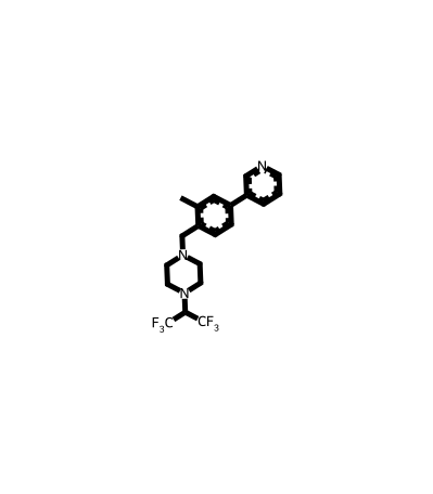 Cc1cc(-c2cccnc2)ccc1CN1CCN(C(C(F)(F)F)C(F)(F)F)CC1